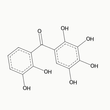 O=C(c1cccc(O)c1O)c1cc(O)c(O)c(O)c1O